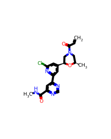 C=CC(=O)N1C[C@H](C)O[C@@H](c2cc(Cl)nc(-c3cc(C(=O)NC)ncn3)c2)C1